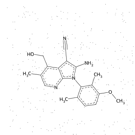 COc1ccc(C)c(-n2c(N)c(C#N)c3c(CO)c(C)cnc32)c1C